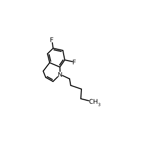 CCCCCN1C=CCc2cc(F)cc(F)c21